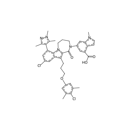 Cc1cc(OCCCc2c3n(c4c(-c5c(C)nn(C)c5C)cc(Cl)cc24)CCCN(c2cc(C(=O)O)c4ccn(C)c4c2)C3=O)cc(C)c1Cl